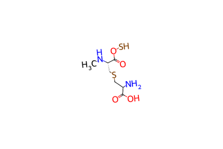 CN[C@@H](CSCC(N)C(=O)O)C(=O)OS